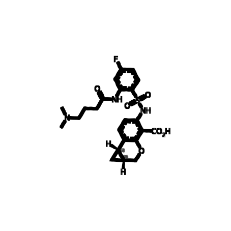 CN(C)CCCC(=O)Nc1cc(F)ccc1S(=O)(=O)Nc1ccc2c(c1C(=O)O)OC[C@@H]1C[C@H]21